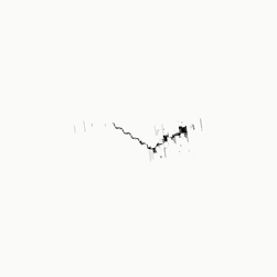 CCCCCCCCCCCCCCCCCCOCC(COC(=O)NCC[N+](C)(C)C)NC(C)=O.[I-]